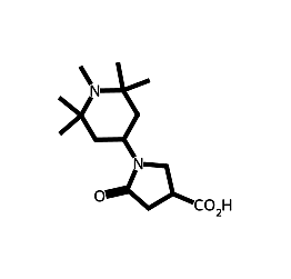 CN1C(C)(C)CC(N2CC(C(=O)O)CC2=O)CC1(C)C